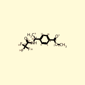 COC(=O)c1ccc([C@H](C)NC(=O)C(F)(F)F)cc1